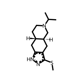 CSc1n[nH]c2c1C[C@@H]1CN(C(C)C)CC[C@H]1C2